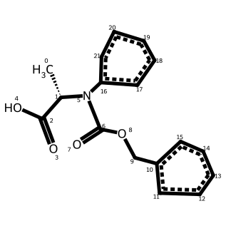 C[C@@H](C(=O)O)N(C(=O)OCc1ccccc1)c1ccccc1